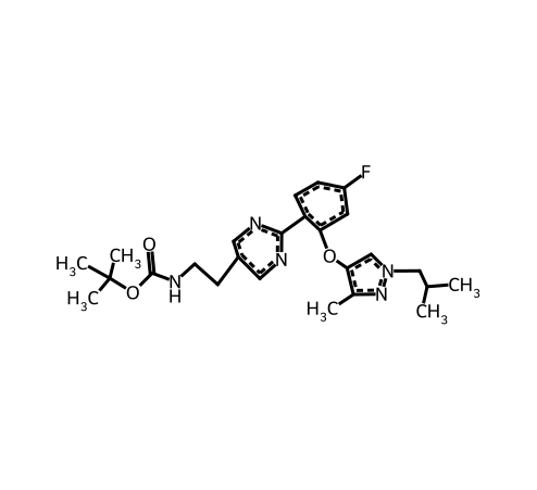 Cc1nn(CC(C)C)cc1Oc1cc(F)ccc1-c1ncc(CCNC(=O)OC(C)(C)C)cn1